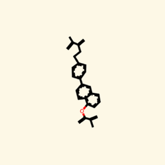 C=C(C)C(=C)CCc1ccc(-c2ccc3c(OC(=C)C(=C)C)cccc3c2)cc1